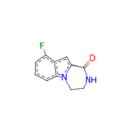 O=C1NCCn2c1cc1c(F)cccc12